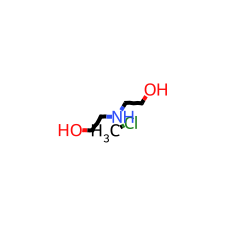 CCl.OCCNCCO